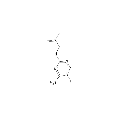 C=C(C)COc1ncc(F)c(N)n1